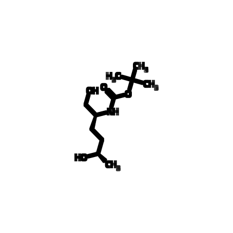 C[C@@H](O)CC[C@@H](CO)NC(=O)OC(C)(C)C